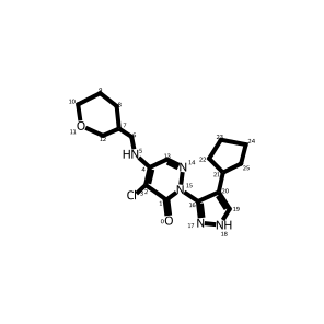 O=c1c(Cl)c(NCC2CCCOC2)cnn1-c1n[nH]cc1C1CCCC1